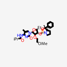 CC[C@H]1O[C@@H](n2cc(C)c(NC(=O)C(C)C)nc2=O)C(OCCOC)[C@H]1O[P@@]1O[C@](C)(c2ccccc2)[C@@H]2CCCN21